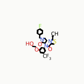 C#Cc1nc(C(=O)N(c2cc(OCCO)cc(C(F)(F)F)c2)C2CCN(Cc3ccc(F)cc3)C2=O)cs1